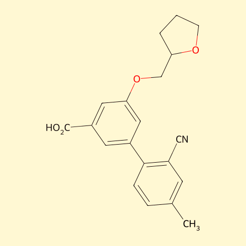 Cc1ccc(-c2cc(OCC3CCCO3)cc(C(=O)O)c2)c(C#N)c1